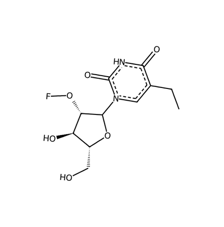 CCc1cn(C2O[C@H](CO)[C@@H](O)[C@@H]2OF)c(=O)[nH]c1=O